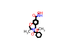 COC1(C(=O)N2Cc3ccc(C(=O)NO)cc3OC[C@@H]2C)CCCCC1